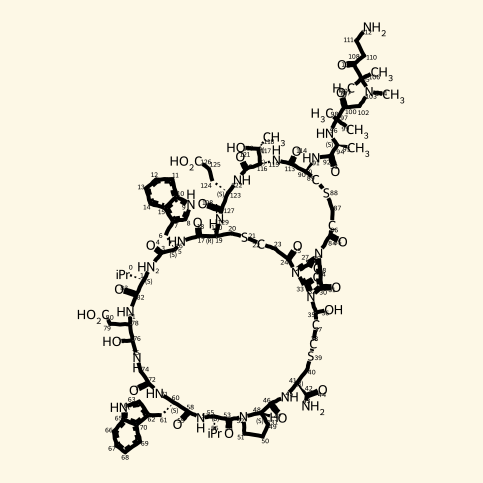 CC(C)[C@@H]1NC(=O)[C@H](Cc2c[nH]c3ccccc23)NC(=O)[C@@H]2CSCCC(=O)n3c(=O)n(c(=O)n(c3=O)C(O)CCSC[C@@H](C(N)=O)NC(=O)[C@@H]3CCCN3C(=O)[C@H](C(C)C)NC(=O)[C@H](Cc3c[nH]c4ccccc34)NC(=O)CNC(O)C(CC(=O)O)NC1=O)C(=O)CCSC[C@H](NC(=O)[C@H](C)NC(C)(C)C(=O)CN(C)C(C)(C)C(=O)CCN)C(=O)N[C@@H]([C@@H](C)O)C(=O)N[C@@H](CCC(=O)O)C(=O)N2